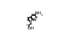 Nc1cnc2c(ccn2CCO)c1